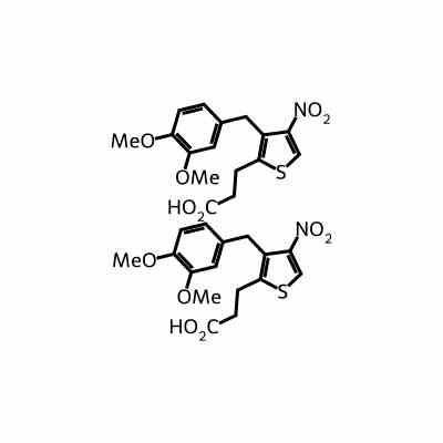 COc1ccc(Cc2c([N+](=O)[O-])csc2CCC(=O)O)cc1OC.COc1ccc(Cc2c([N+](=O)[O-])csc2CCC(=O)O)cc1OC